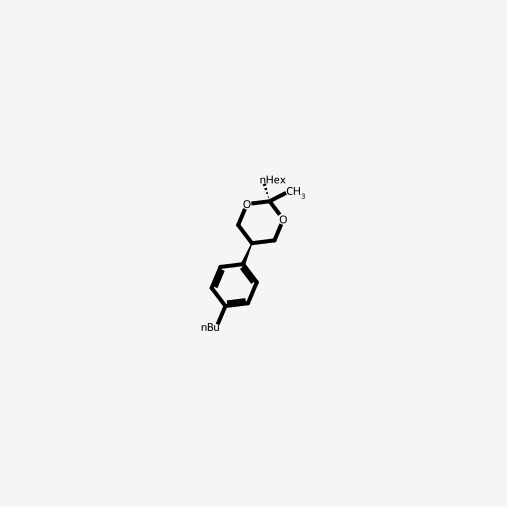 CCCCCC[C@]1(C)OC[C@@H](c2ccc(CCCC)cc2)CO1